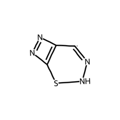 [c]1n[nH]sc2nnc1=2